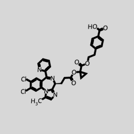 Cc1cnc2n1-c1cc(Cl)c(Cl)cc1C(c1ccccn1)=N[C@H]2CCC(=O)OC1(C(=O)OCCc2ccc(C(=O)O)cc2)CC1